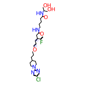 C=C(F)/C(=C\C=C\OCCCC1CCN(c2ncc(Cl)cn2)CC1)CC(=O)NCCCCC(=O)NC(CO)CO